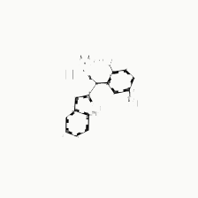 COc1ccc(Br)cc1C(N)c1cc2ccccc2o1